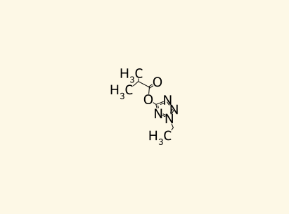 CCn1nnc(OC(=O)C(C)C)n1